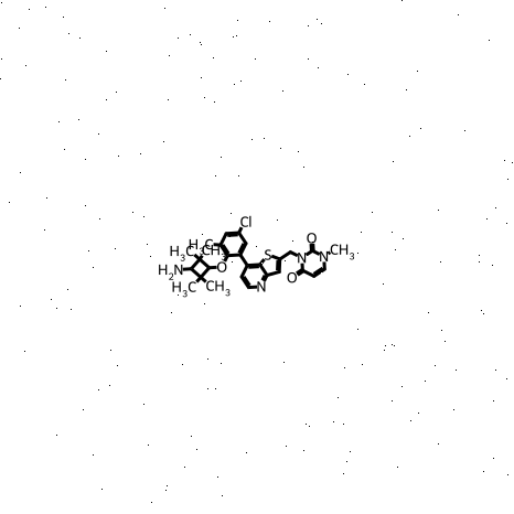 Cc1cc(Cl)cc(-c2ccnc3cc(Cn4c(=O)ccn(C)c4=O)sc23)c1OC1C(C)(C)C(N)C1(C)C